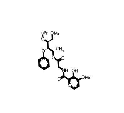 CCCO[C@@H](COC)[C@@H](Oc1ccccc1)[C@H](C)OC(=O)CNC(=O)c1nccc(OC)c1O